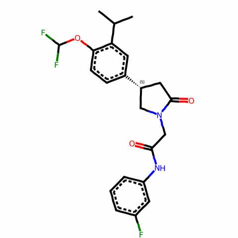 CC(C)c1cc([C@@H]2CC(=O)N(CC(=O)Nc3cccc(F)c3)C2)ccc1OC(F)F